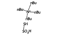 CCCC[N+](CCCC)(CCCC)CCCC.O=S(=O)(O)S